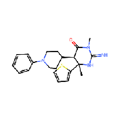 CN1C(=N)N[C@](C)(c2cccs2)[C@@H](C2CCN(c3ccccc3)CC2)C1=O